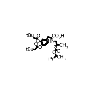 CC(CN[C@@H](Cc1ccc(OC(=O)CC(C)(C)C)c(OC(=O)CC(C)(C)C)c1)C(=O)O)OC(=O)OC(C)C(C)C